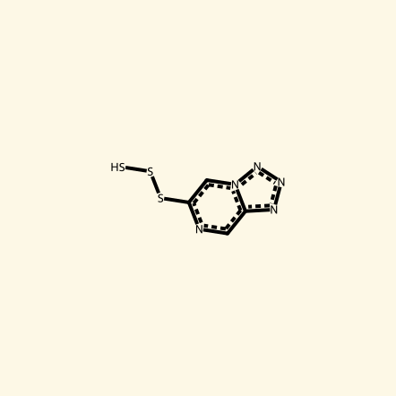 SSSc1cn2nnnc2cn1